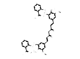 COc1cc(/C=C/C(=O)CC(=O)/C=C/c2cc(/N=N/c3ccccc3C(=O)O)c(O)c(OC)c2)cc(/N=N/c2ccccc2C(=O)O)c1O